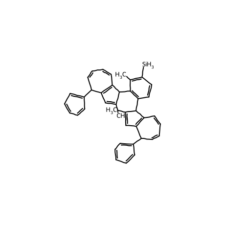 CC1=CC2=C(C=CC=CC2c2ccccc2)C1c1ccc([SiH3])c(C)c1C1C(C)=CC2=C1C=CC=CC2c1ccccc1